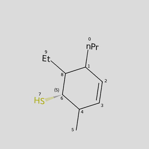 CCCC1C=CC(C)[C@H](S)C1CC